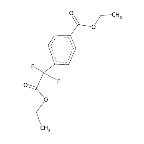 CCOC(=O)c1ccc(C(F)(F)C(=O)OCC)cc1